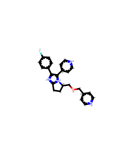 Fc1ccc(-c2nc3n(c2-c2ccncc2)C(COCc2ccncc2)CC3)cc1